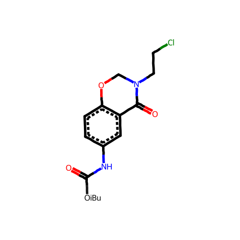 CC(C)COC(=O)Nc1ccc2c(c1)C(=O)N(CCCl)CO2